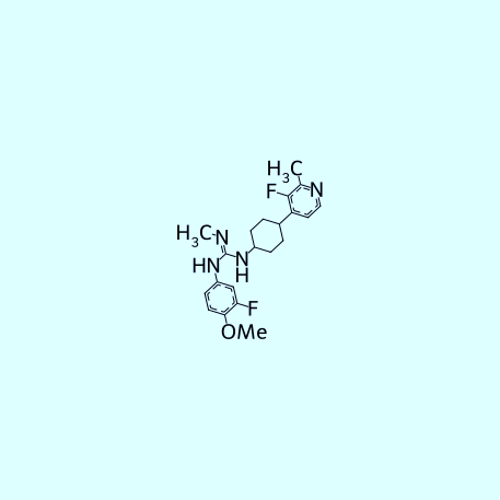 C/N=C(\Nc1ccc(OC)c(F)c1)NC1CCC(c2ccnc(C)c2F)CC1